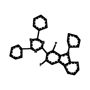 Fc1cc2c3ccccc3n(-c3ccccc3)c2c(F)c1-c1nc(-c2ccccc2)nc(-c2ccccc2)n1